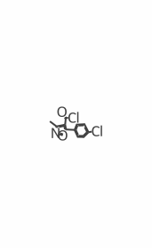 Cc1noc(-c2ccc(Cl)cc2)c1C(=O)Cl